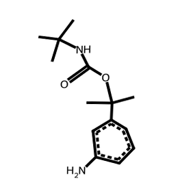 CC(C)(C)NC(=O)OC(C)(C)c1cccc(N)c1